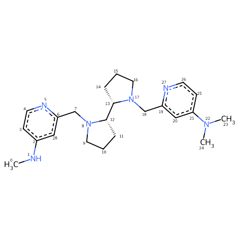 CNc1ccnc(CN2CCC[C@H]2[C@@H]2CCCN2Cc2cc(N(C)C)ccn2)c1